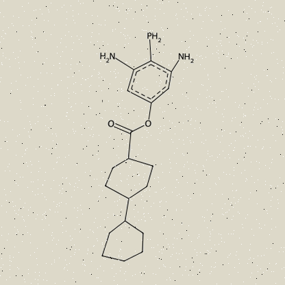 Nc1cc(OC(=O)C2CCC(C3CCCCC3)CC2)cc(N)c1P